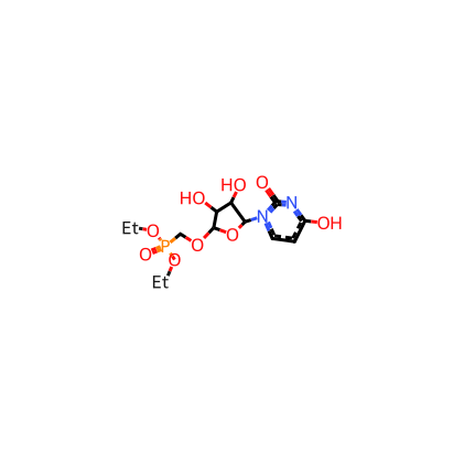 CCOP(=O)(COC1OC(n2ccc(O)nc2=O)C(O)C1O)OCC